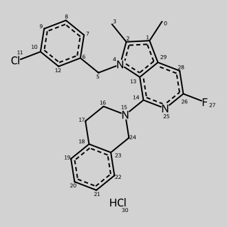 Cc1c(C)n(Cc2cccc(Cl)c2)c2c(N3CCc4ccccc4C3)nc(F)cc12.Cl